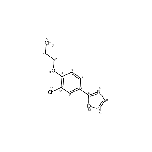 CCCOc1ccc(-c2n[c]no2)cc1Cl